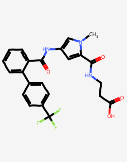 Cn1cc(NC(=O)c2ccccc2-c2ccc(C(F)(F)F)cc2)cc1C(=O)NCCC(=O)O